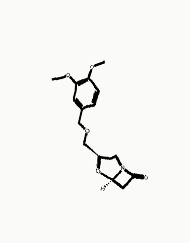 COc1ccc(COC[C@H]2CN3C(=O)C[C@H]3O2)cc1OC